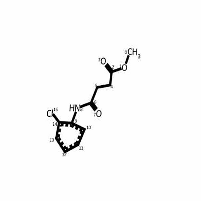 COC(=O)CCC(=O)Nc1ccccc1Cl